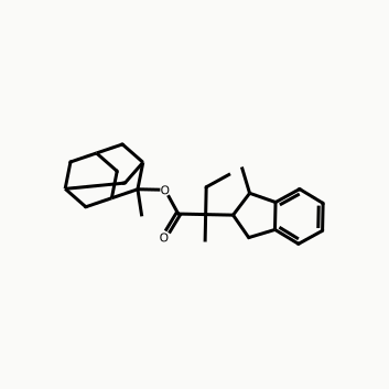 CCC(C)(C(=O)OC1(C)C2CC3CC(C2)CC1C3)C1Cc2ccccc2C1C